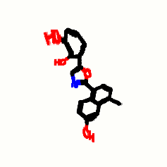 Cc1ccc(-c2ncc(-c3cccc(O)c3O)o2)c2ccc(O)cc12